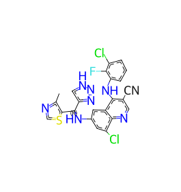 Cc1ncsc1[C@H](Nc1cc(Cl)c2ncc(C#N)c(Nc3cccc(Cl)c3F)c2c1)c1c[nH]nn1